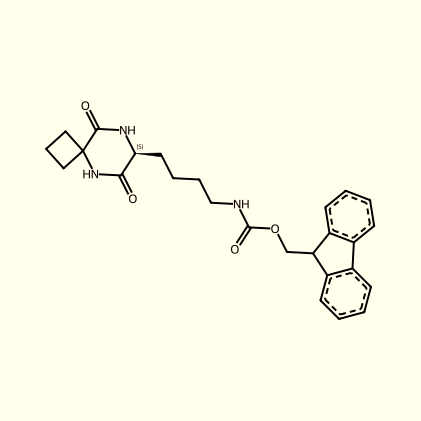 O=C(NCCCC[C@@H]1NC(=O)C2(CCC2)NC1=O)OCC1c2ccccc2-c2ccccc21